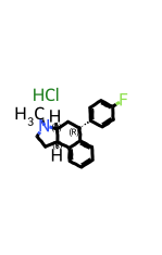 CN1CC[C@@H]2c3ccccc3[C@@H](c3ccc(F)cc3)C[C@H]21.Cl